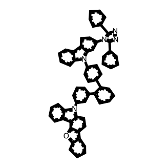 c1ccc(-c2nnc(-c3ccccc3)n2-c2ccc3c4ccccc4n(-c4ccc(-c5ccccc5-c5cccc(-n6c7ccccc7c7c8oc9ccccc9c8ccc76)c5)cc4)c3c2)cc1